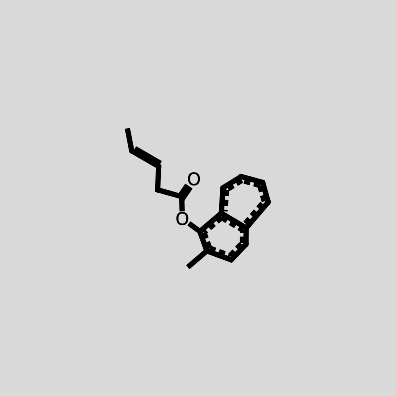 CC=CCC(=O)Oc1c(C)ccc2ccccc12